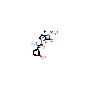 N[C@@H](C(=O)N1CC[C@@H]2[C@H]1C(=O)N2S(=O)(=O)O)c1cccc(O)c1